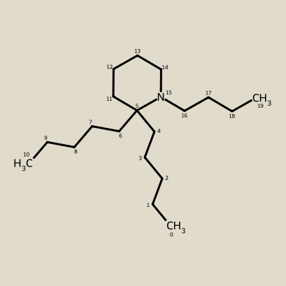 CCCCCC1(CCCCC)CCCCN1CCCC